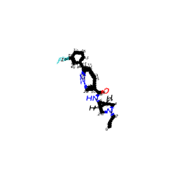 CCCN1C[C@@H]2C(NC(=O)c3ccc(-c4cccc(F)c4)nc3)[C@@H]2C1